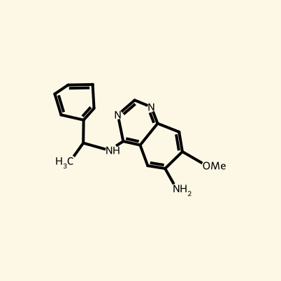 COc1cc2ncnc(NC(C)c3ccccc3)c2cc1N